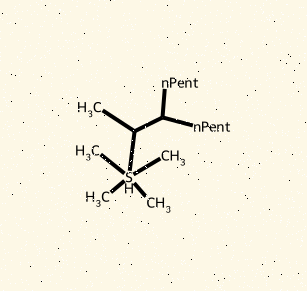 CCCCCC(CCCCC)C(C)[SH](C)(C)(C)C